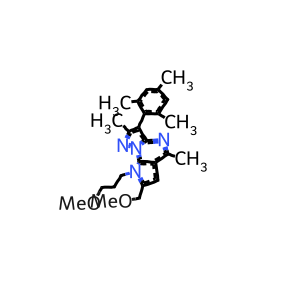 COCCCn1c(COC)cc2c(C)nc3c(-c4c(C)cc(C)cc4C)c(C)nn3c21